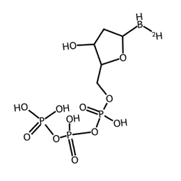 [2H]BC1CC(O)C(COP(=O)(O)OP(=O)(O)OP(=O)(O)O)O1